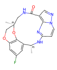 C[C@H]1Nc2ccn3ncc(c3n2)C(=O)NC[C@]2(C)COc3cc(F)cc1c3O2